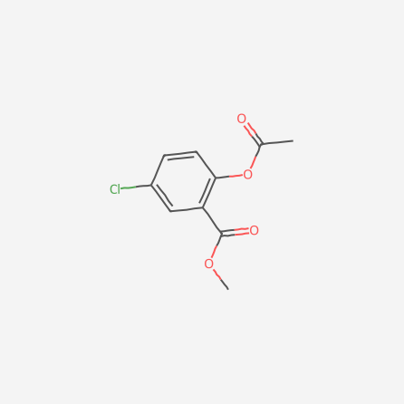 COC(=O)c1cc(Cl)ccc1OC(C)=O